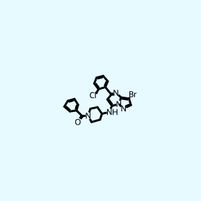 O=C(c1ccccc1)N1CCC(Nc2cc(-c3ccccc3Cl)nc3c(Br)cnn23)CC1